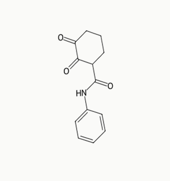 O=C1CCCC(C(=O)Nc2ccccc2)C1=O